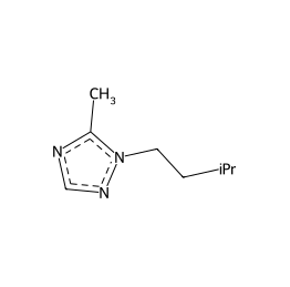 Cc1ncnn1CCC(C)C